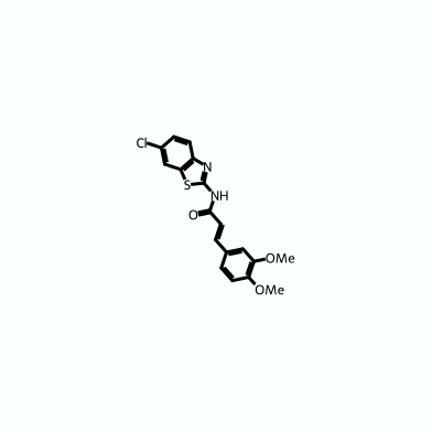 COc1ccc(C=CC(=O)Nc2nc3ccc(Cl)cc3s2)cc1OC